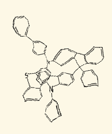 c1ccc(-c2ccc(N(c3ccc4c(c3)C(c3ccccc3)(c3ccc5c(c3)c3ccccc3n5-c3ccccc3)c3ccccc3-4)c3ccc4c(c3)sc3ccccc34)cc2)cc1